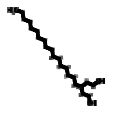 CCCCCCCCCCCCCCCCCN(CCO)CCO